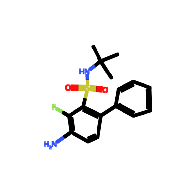 CC(C)(C)NS(=O)(=O)c1c(-c2ccccc2)ccc(N)c1F